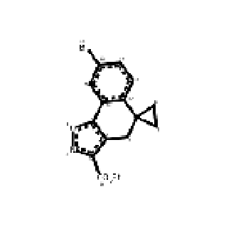 CCOC(=O)c1noc2c1CC1(CC1)c1ccc(Br)cc1-2